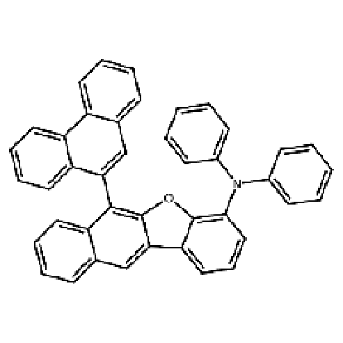 c1ccc(N(c2ccccc2)c2cccc3c2oc2c(-c4cc5ccccc5c5ccccc45)c4ccccc4cc23)cc1